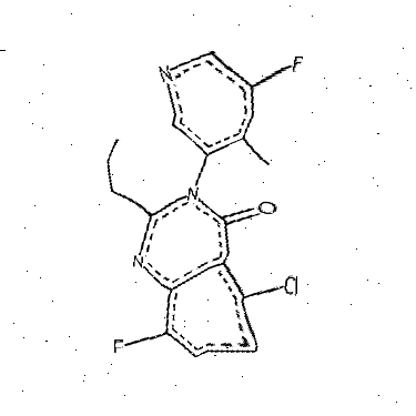 CCc1nc2c(F)ccc(Cl)c2c(=O)n1-c1cncc(F)c1C